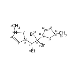 CCC(N1C=CN(C)C1)C(Br)(Br)N1C=CN(C)C1